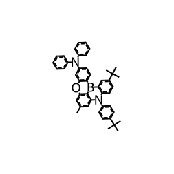 Cc1cc2c3c(c1)N(c1ccc(C(C)(C)C)cc1)c1ccc(C(C)(C)C)cc1B3c1ccc(N(c3ccccc3)c3ccccc3)cc1O2